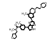 Cc1cc(-c2c[nH]c3ncc(-c4cc(C)c5c(c4)CN(CCN4CCOCC4)CC5)nc23)ccc1C(=O)N(C)CC1CCOC1